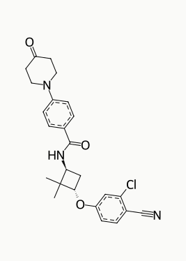 CC1(C)[C@@H](NC(=O)c2ccc(N3CCC(=O)CC3)cc2)C[C@@H]1Oc1ccc(C#N)c(Cl)c1